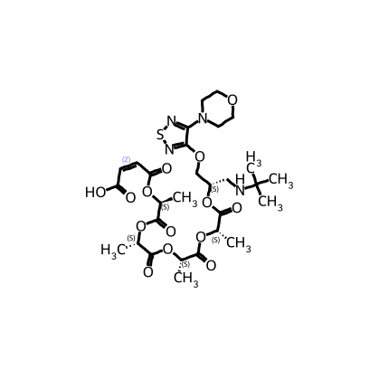 C[C@H](OC(=O)/C=C\C(=O)O)C(=O)O[C@@H](C)C(=O)O[C@@H](C)C(=O)O[C@@H](C)C(=O)O[C@@H](CNC(C)(C)C)COc1nsnc1N1CCOCC1